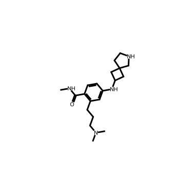 CNC(=O)c1ccc(NC2CC3(CCNC3)C2)cc1CCCN(C)C